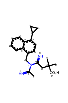 CC(=N)N(Cc1ccc(C2CC2)c2ccccc12)C(=N)CC(C)(C)C(=O)O